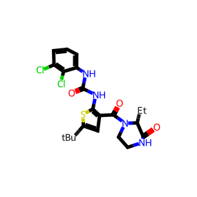 CCC1C(=O)NCCN1C(=O)c1cc(C(C)(C)C)sc1NC(=O)Nc1cccc(Cl)c1Cl